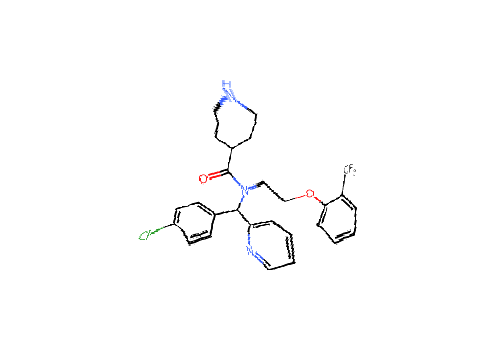 O=C(C1CCNCC1)N(CCOc1ccccc1C(F)(F)F)C(c1ccc(Cl)cc1)c1ccccn1